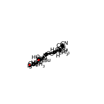 Cc1ncsc1-c1ccc([C@H](C)NC(=O)[C@@H]2C[C@@H](O)CN2C(=O)C(NC(=O)CN2CCC(OCCOc3ccc(C(=O)N[C@H]4C(C)(C)[C@H](Oc5ccc(C#N)c(Cl)c5)C4(C)C)cc3)CC2)C(C)(C)C)cc1